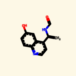 C=C(NC=O)c1ccnc2ccc(O)cc12